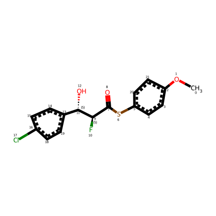 COc1ccc(SC(=O)[C@@H](F)[C@@H](O)c2ccc(Cl)cc2)cc1